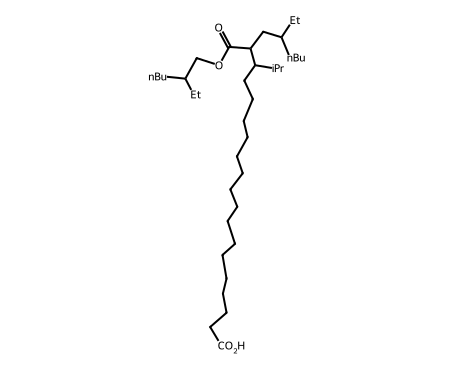 CCCCC(CC)COC(=O)C(CC(CC)CCCC)C(CCCCCCCCCCCCCCCC(=O)O)C(C)C